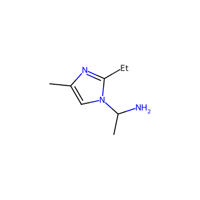 CCc1nc(C)cn1C(C)N